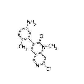 Cc1ccc(N)cc1-c1cc2cnc(Cl)cc2n(C)c1=O